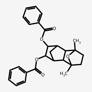 CC12CCC(C)(O1)C1C3CC(C(OC(=O)c4ccccc4)C3OC(=O)c3ccccc3)C12